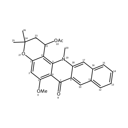 COc1cc2c(c3c1c(=O)c1cc4ccccc4cc1n3C)C(OC(C)=O)[C]C(C)(C)O2